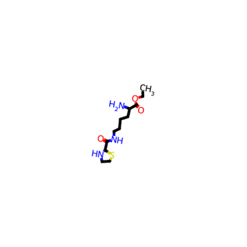 CCOC(=O)C(N)CCCCNC(=O)C1NCCS1